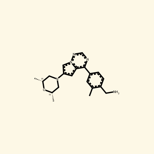 Cc1cc(-c2ncnn3cc(N4C[C@@H](C)O[C@@H](C)C4)cc23)ccc1CN